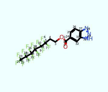 O=C(OCCC(F)(F)C(F)(F)C(F)(F)C(F)(F)C(F)(F)C(F)(F)F)c1ccc2nn[nH]c2c1